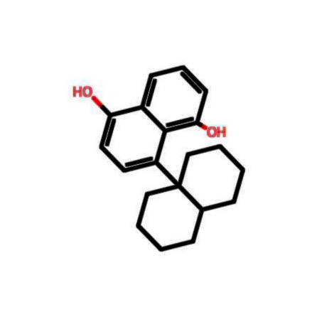 Oc1ccc(C23CCCCC2CCCC3)c2c(O)cccc12